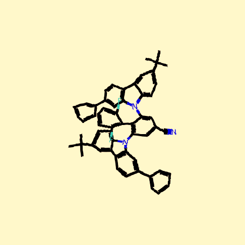 CC(C)(C)c1ccc2c(c1)c1ccc(-c3ccccc3)cc1n2-c1cc(C#N)cc(-n2c3ccc(C(C)(C)C)cc3c3ccc(-c4ccccc4)cc32)c1-c1c(F)cccc1F